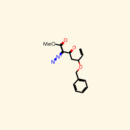 C=CC(CC(=O)C(=[N+]=[N-])C(=O)OC)OCc1ccccc1